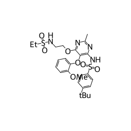 CCS(=O)(=O)NCCOc1nc(C)nc(NS(=O)(=O)c2ccc(C(C)(C)C)cc2)c1Oc1ccccc1OC